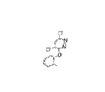 Cc1ccccc1Oc1nnc(Cl)cc1Cl